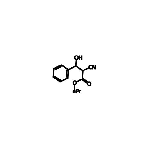 CCCOC(=O)C(C#N)C(O)c1ccccc1